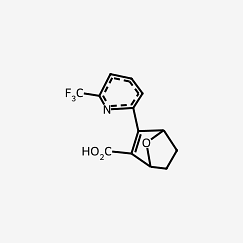 O=C(O)C1=C(c2cccc(C(F)(F)F)n2)C2CCC1O2